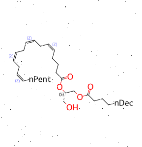 CCCCC/C=C\C/C=C\C/C=C\C/C=C\CCCC(=O)O[C@@H](CO)COC(=O)CCCCCCCCCCCCC